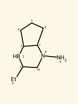 CCC1BC2CCCC2N(N)C1